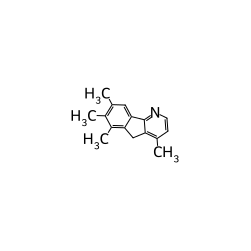 Cc1cc2c(c(C)c1C)Cc1c(C)ccnc1-2